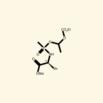 CCOC(=O)OC(C)OP(C)(=O)N[C@H](C(=O)OC)C(C)C